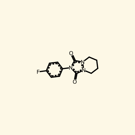 O=c1n(-c2ccc(F)cc2)c(=O)n2n1CCCC2